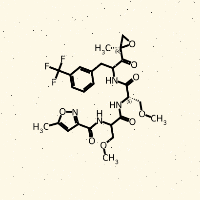 COCC(NC(=O)c1cc(C)on1)C(=O)N[C@@H](COC)C(=O)NC(Cc1cccc(C(F)(F)F)c1)C(=O)[C@@]1(C)CO1